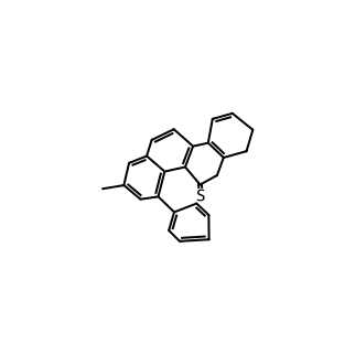 Cc1cc(-c2ccccc2)c2c3c(ccc2c1)C1=C(CCC=C1)CC3=S